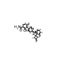 NC(=O)c1ccc(F)c(-c2ccc(NC[C@]3(c4ncccc4F)C[C@H](F)C3)nn2)c1O